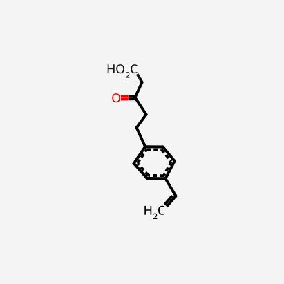 C=Cc1ccc(CCC(=O)CC(=O)O)cc1